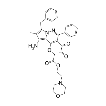 Cc1c(N)c2c(OCC(=O)OCCN3CCOCC3)c(C(=O)[C]=O)c(-c3ccccc3)nn2c1Cc1ccccc1